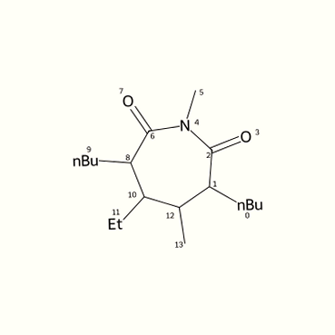 CCCCC1C(=O)N(C)C(=O)C(CCCC)C(CC)C1C